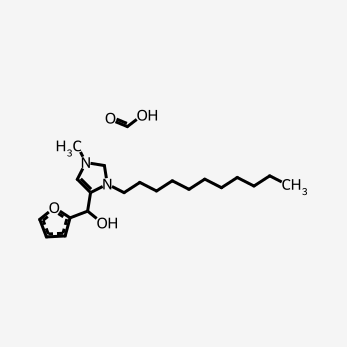 CCCCCCCCCCCN1CN(C)C=C1C(O)c1ccco1.O=CO